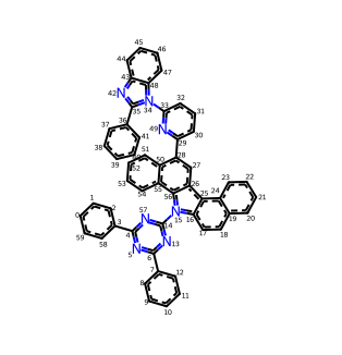 c1ccc(-c2nc(-c3ccccc3)nc(-n3c4ccc5ccccc5c4c4cc(-c5cccc(-n6c(-c7ccccc7)nc7ccccc76)n5)c5ccccc5c43)n2)cc1